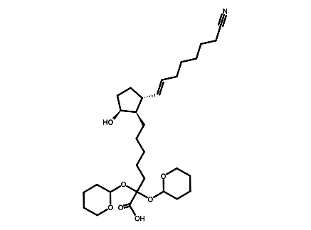 N#CCCCCCC=C[C@H]1CC[C@H](O)[C@@H]1CCCCCC(OC1CCCCO1)(OC1CCCCO1)C(=O)O